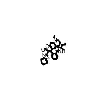 CCCC(C)(C)NC(=O)c1ccccc1-c1c(-c2nc3ccccc3s2)c(=O)oc2cc3c(cc12)CCCN3CC